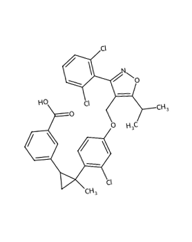 CC(C)c1onc(-c2c(Cl)cccc2Cl)c1COc1ccc(C2(C)CC2c2cccc(C(=O)O)c2)c(Cl)c1